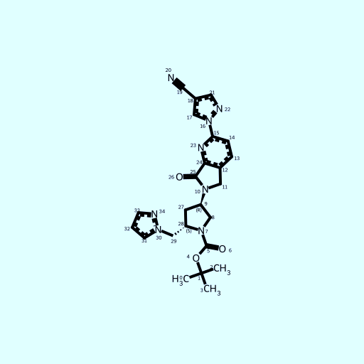 CC(C)(C)OC(=O)N1C[C@H](N2Cc3ccc(-n4cc(C#N)cn4)nc3C2=O)C[C@H]1Cn1cccn1